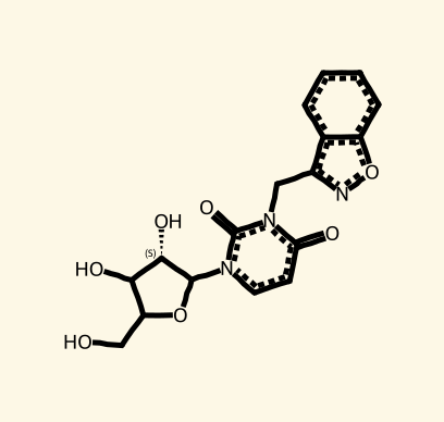 O=c1ccn(C2OC(CO)C(O)[C@@H]2O)c(=O)n1Cc1noc2ccccc12